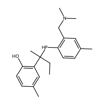 CCC(C)(Pc1ccc(C)cc1CN(C)C)c1cc(C)ccc1O